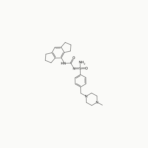 CN1CCN(Cc2ccc(S(N)(=O)=NC(=O)Nc3c4c(cc5c3CCC5)CCC4)cc2)CC1